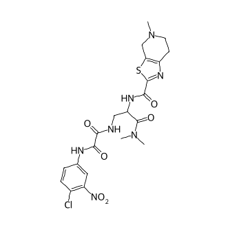 CN1CCc2nc(C(=O)NC(CNC(=O)C(=O)Nc3ccc(Cl)c([N+](=O)[O-])c3)C(=O)N(C)C)sc2C1